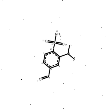 CC(C)c1cc(C=O)ccc1S(N)(=O)=O